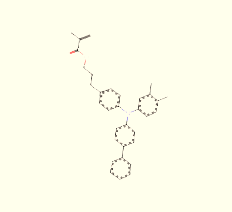 C=C(C)C(=O)OCCCc1ccc(N(c2ccc(-c3ccccc3)cc2)c2ccc(C)c(C)c2)cc1